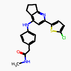 CNC(=O)Cc1ccc(Nc2cc(-c3ccc(Cl)s3)nc3c2CCC3)cc1